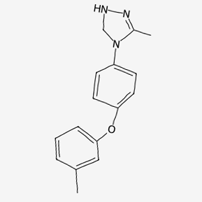 CC1=NNCN1c1ccc(Oc2cccc(C)c2)cc1